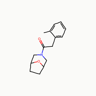 Cc1ccccc1CC(=O)N1CC2CCC(C1)O2